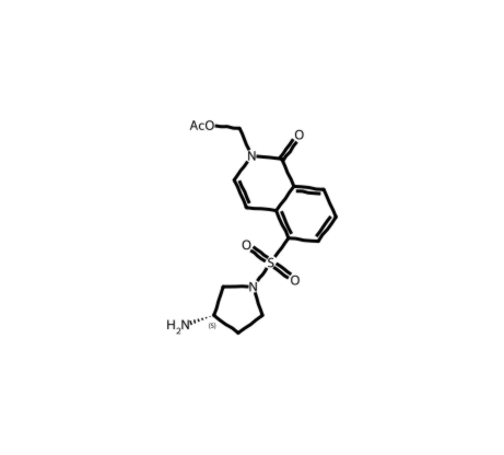 CC(=O)OCn1ccc2c(S(=O)(=O)N3CC[C@H](N)C3)cccc2c1=O